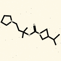 CC(C)C1CN(C(=O)OC(C)(C)CCN2CCCC2)C1